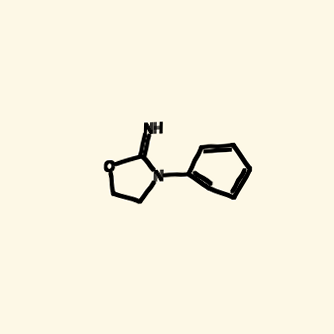 N=C1OCCN1c1ccccc1